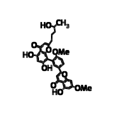 COc1cc(O)c2c(=O)cc(-c3ccc(OC)c(-c4c(O)cc(O)c5c(=O)cc(CCCC(C)O)oc45)c3)oc2c1